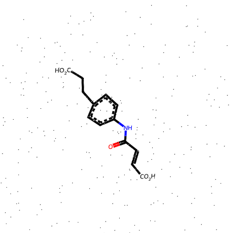 O=C(O)/C=C/C(=O)Nc1ccc(CCC(=O)O)cc1